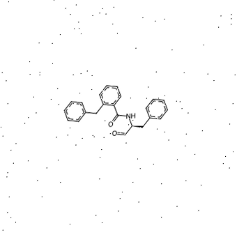 O=C[C@H](Cc1ccccc1)NC(=O)c1ccccc1Cc1ccccc1